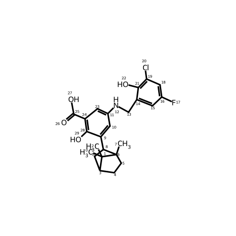 CC1(C)C2CCC1(C)C(c1cc(NCc3cc(F)cc(Cl)c3O)cc(C(=O)O)c1O)C2